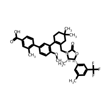 COc1ccc(-c2ccc(C(=O)O)cc2C)cc1C1=C(CN2C(=O)O[C@H](c3cc(C)cc(C(F)(F)F)c3)[C@@H]2C)CC(C)(C)CC1